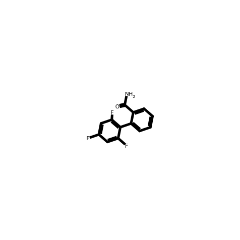 NC(=O)c1ccccc1-c1c(F)cc(F)cc1F